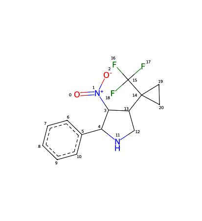 O=[N+]([O-])C1C(c2ccccc2)NCC1C1(C(F)(F)F)CC1